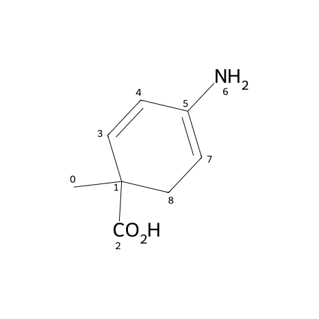 CC1(C(=O)O)C=CC(N)=CC1